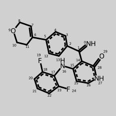 N=C(c1ccc(C2=CCOCC2)cc1)c1c(Nc2c(F)cccc2F)cc[nH]c1=O